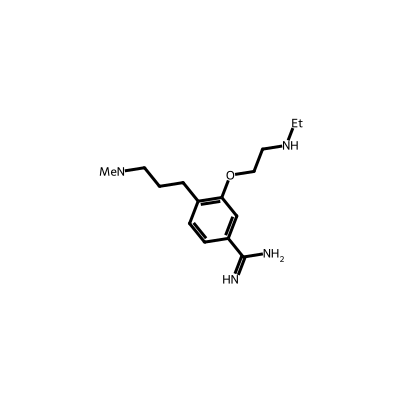 CCNCCOc1cc(C(=N)N)ccc1CCCNC